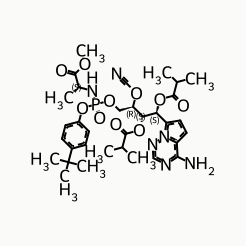 COC(=O)[C@H](C)NP(=O)(OC[C@@H](OC#N)[C@@H](OC(=O)C(C)C)[C@@H](OC(=O)C(C)C)c1ccc2c(N)ncnn12)Oc1ccc(C(C)(C)C)cc1